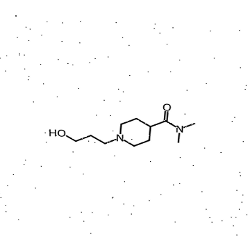 CN(C)C(=O)C1CCN(CCCO)CC1